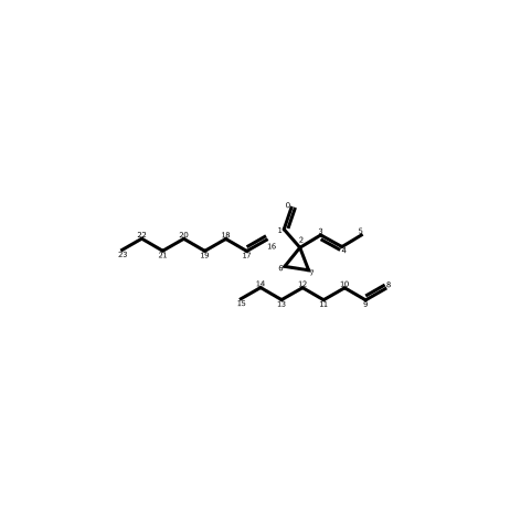 C=CC1(C=CC)CC1.C=CCCCCCC.C=CCCCCCC